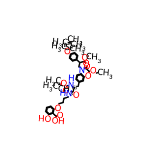 CCOC(=O)C(=O)N(CC(C(=O)OC)c1ccc(O[Si](C)(C)C(C)(C)C)cc1)c1ccc(C[C@H](NC(=O)OC(C)(C)C)C(=O)NCCCCOc2cccc(O)c2C(=O)O)cc1